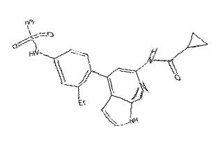 CCCS(=O)(=O)Nc1ccc(-c2cc(NC(=O)C3CC3)nc3[nH]ccc23)c(CC)c1